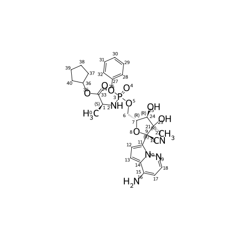 C[C@H](NP(=O)(OC[C@H]1O[C@@](C#N)(c2ccc3c(N)ccnn23)[C@](C)(O)[C@@H]1O)Oc1ccccc1)C(=O)OC1CCCC1